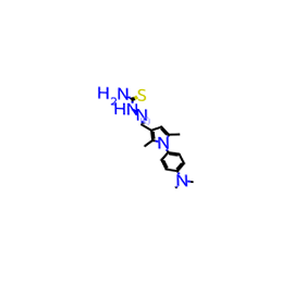 Cc1cc(/C=N/NC(N)=S)c(C)n1-c1ccc(N(C)C)cc1